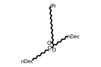 CCCCCCCCCCCCCCCCCCOC(=O)C(CCCCCCCCCCCCCCCC)C(=O)CCCCCCCCCCCCCCC(C)C